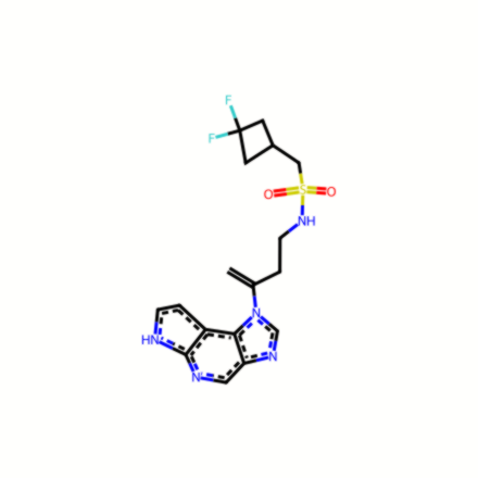 C=C(CCNS(=O)(=O)CC1CC(F)(F)C1)n1cnc2cnc3[nH]ccc3c21